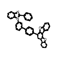 c1ccc(-c2nc3ccccc3n2-c2cccc(-c3ccc(-c4cc5c6ccccc6oc5c5c4oc4ccccc45)cc3)c2)cc1